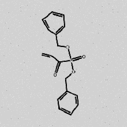 C=CC(=O)P(=O)(OCc1ccccc1)OCc1ccccc1